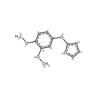 COc1ccc(Oc2n[c]co2)cc1OC